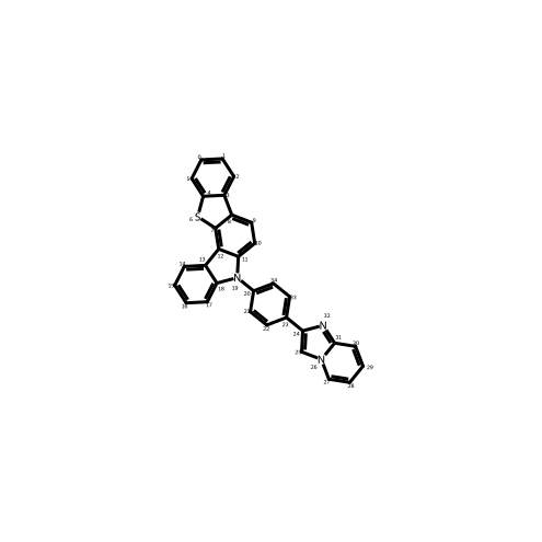 c1ccc2c(c1)sc1c2ccc2c1c1ccccc1n2-c1ccc(-c2cn3ccccc3n2)cc1